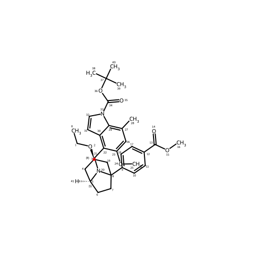 CCO[C@@H]1C[C@@H]2CCC(c3ccc(C(=O)OC)cc3)(C1)N2Cc1c(OC)cc(C)c2c1ccn2C(=O)OC(C)(C)C